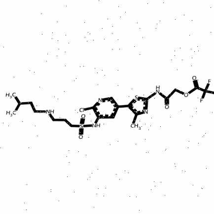 Cc1nc(NC(=O)COC(=O)C(F)(F)F)sc1-c1cnc(Cl)c(NS(=O)(=O)CCCNCCC(C)C)c1